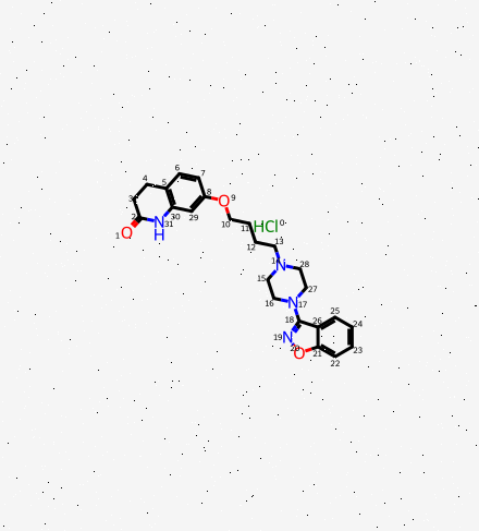 Cl.O=C1CCc2ccc(OCCCCN3CCN(c4noc5ccccc45)CC3)cc2N1